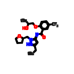 CC(C)(C)Cc1c/c(=N\C(=O)c2cc(C(F)(F)F)ccc2OC[C@@H](O)C(C)(C)C)n(C[C@H]2CCCO2)[nH]1